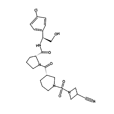 N#CC1CN(S(=O)(=O)N2CCC[C@H](C(=O)N3CCC[C@@H]3C(=O)N[C@H](CO)c3ccc(Cl)cc3)C2)C1